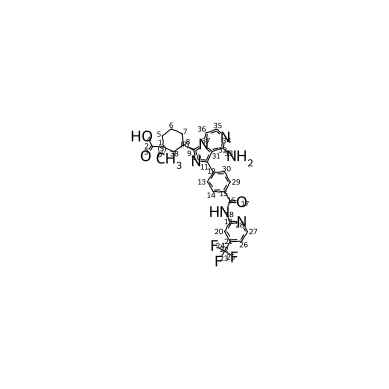 C[C@]1(C(=O)O)CCC[C@@H](c2nc(-c3ccc(C(=O)Nc4cc(C(F)(F)F)ccn4)cc3)c3c(N)nccn23)C1